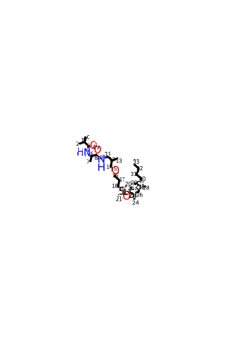 C=C(C)C(=O)NC(C)C(=O)NCC(C)COCCC[Si](C)(C)O[Si](C)(C)C[Si](C)(C)CCCC